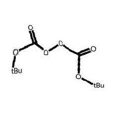 CC(C)(C)OC(=O)OOC(=O)OC(C)(C)C